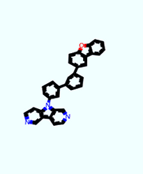 c1cc(-c2cccc(-n3c4ccncc4c4ccncc43)c2)cc(-c2ccc3oc4ccccc4c3c2)c1